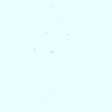 COc1ccc2c(c1)nc(/N=C1\N=c3ccccc3=[N+]1C)n2C